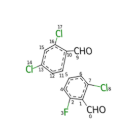 O=Cc1c(F)cccc1Cl.O=Cc1ccc(Cl)cc1Cl